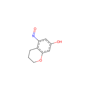 O=Nc1cc(O)cc2c1CCCO2